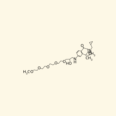 COCCOCCOCCOCCOCC(O)CNc1ccc2c(c1)[C@]1(C)CCN(CC3CC3)C(C2=O)[C@@H]1C